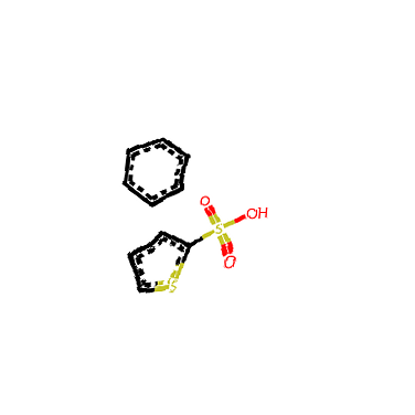 O=S(=O)(O)c1cccs1.c1ccccc1